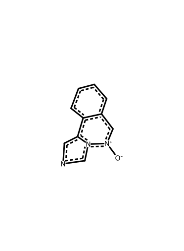 [O-][n+]1cc2ccccc2c2cncn21